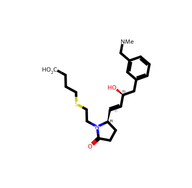 CNCc1cccc(C[C@H](O)/C=C/[C@H]2CCC(=O)N2CCSCCCC(=O)O)c1